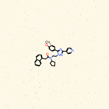 COc1ccc(-c2nc(-c3ccncc3)nn2CCN(C(=O)Cc2cccc3ccccc23)C2CCCC2)cc1